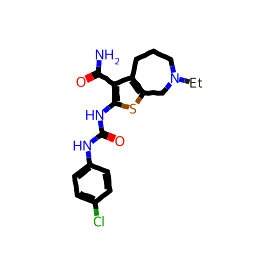 CCN1CCCc2c(sc(NC(=O)Nc3ccc(Cl)cc3)c2C(N)=O)C1